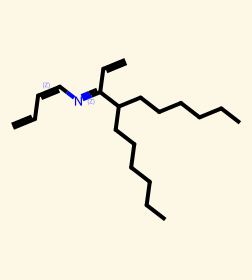 C=C/C=C\N=C(/C=C)C(CCCCCC)CCCCCC